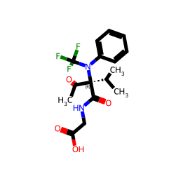 CC(=O)[C@@](C(=O)NCC(=O)O)(C(C)C)N(c1ccccc1)C(F)(F)F